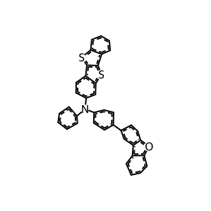 c1ccc(N(c2ccc(-c3ccc4oc5ccccc5c4c3)cc2)c2ccc3c(c2)sc2c4ccccc4sc32)cc1